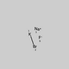 [F-].[K][Br].[Na+]